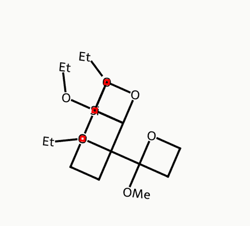 CCO[Si](OCC)(OCC)C1(C2(C3(OC)CCO3)CCO2)CCO1